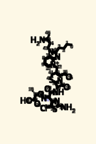 CCCCc1nc2c(ccc[n+]2CC2=C(C=O)N3C(=O)C(NC(=O)/C(=N\O[C@@H](C)C(=O)O)c4nc(N)sc4Cl)C3SC2)n1CC[C@H](C)N